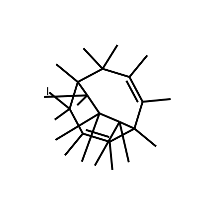 C/C1=C(\C)C2(C)/C(C)=C(/C)C(C)(I)C(C)(C1(C)C)C(C)(C)C(C)(C)C2(C)C